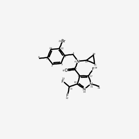 Cc1ccc(CN(C(=O)c2c(C(F)F)nn(C)c2F)C2CC2)c(Br)c1